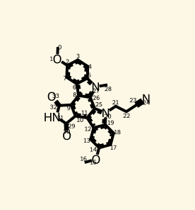 COc1ccc2c(c1)c1c3c(c4c5cc(OC)ccc5n(CCC#N)c4c1n2C)C(=O)NC3=O